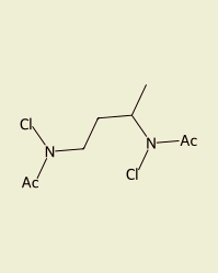 CC(=O)N(Cl)CCC(C)N(Cl)C(C)=O